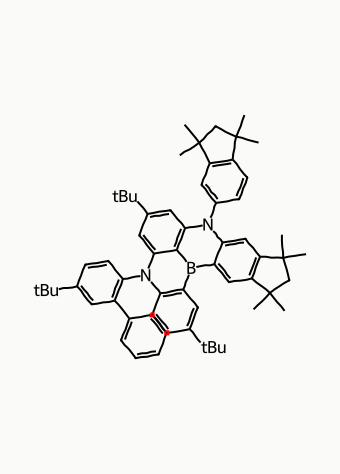 CC(C)(C)c1ccc2c(c1)B1c3cc4c(cc3N(c3ccc5c(c3)C(C)(C)CC5(C)C)c3cc(C(C)(C)C)cc(c31)N2c1ccc(C(C)(C)C)cc1-c1ccccc1)C(C)(C)CC4(C)C